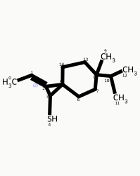 C/C=C1\C(S)C12CCC(C)(C(C)C)CC2